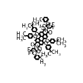 Cc1cccc(OC(=O)C(CC(F)(F)F)N2C(=O)c3cc(Oc4ccc(C(C)C)cc4)c4c5c(Oc6ccc(C(C)C)cc6)cc6c7c(cc(Oc8ccc(C(C)C)cc8)c(c8c(Oc9ccc(C(C)C)cc9)cc(c3c48)C2=O)c75)C(=O)N(C(CC(F)(F)F)C(=O)Oc2cccc(C)c2)C6=O)c1